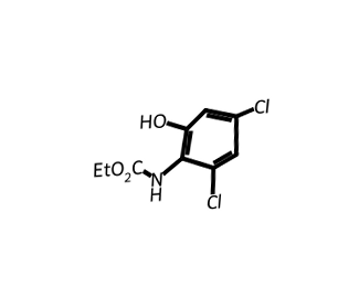 CCOC(=O)Nc1c(O)cc(Cl)cc1Cl